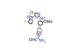 COc1cc(N2CC3CN(C(N)C=O)CC(C2)O3)ccc1Nc1ncc(Cl)c(-c2cnc3c(F)cccn23)n1